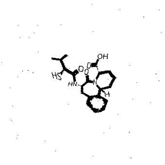 CC(C)[C@H](S)C(=O)N[C@H]1Cc2ccccc2[C@H]2CCC[C@@H](C(=O)O)N2C1=O